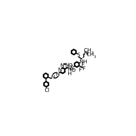 CN(C)CC[C@H](CSc1ccccc1)Nc1ccc(S(=O)(=O)Nc2ncnc3nc(N4CCN(Cc5ccccc5-c5ccc(Cl)cc5)CC4)ccc23)cc1C(F)(F)F